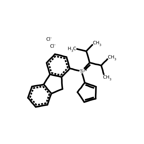 CC(C)[C](C(C)C)=[Ti+2]([C]1=CC=CC1)[c]1cccc2c1Cc1ccccc1-2.[Cl-].[Cl-]